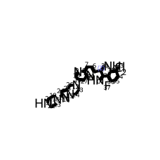 N=C(/C(=C\N)c1ccc2ncc(N3CCn4nc(N5CCNCC5)cc4C3)cc2n1)c1cc(Cl)ccc1F